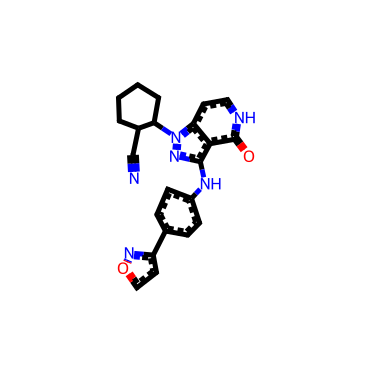 N#CC1CCCCC1n1nc(Nc2ccc(-c3ccon3)cc2)c2c(=O)[nH]ccc21